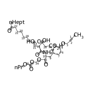 CC#CCOc1ccc(C[C@H](NC(=O)[C@@H](/C=C/CCCCCCC(=O)CCCCCCC)[C@@](O)(CC(=O)O)C(=O)O)C(=O)OCOC(=O)OCCC)cc1